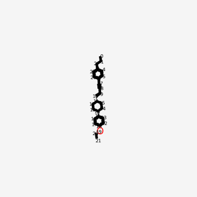 CCCc1ccc(C#CC=C[C@H]2CC[C@H](c3ccc(OCC)cc3)CC2)cc1